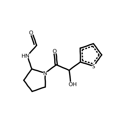 O=CNC1CCCN1C(=O)C(O)c1cccs1